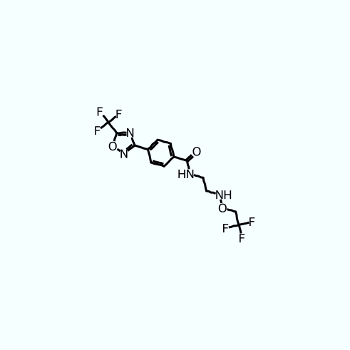 O=C(NCCNOCC(F)(F)F)c1ccc(-c2noc(C(F)(F)F)n2)cc1